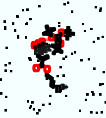 C=C(C)C(=O)OCC[CH2][Ti+3].CC[O-].CC[O-].CC[O-].C[Si](C)(C)O[SiH](O[Si](C)(C)C)O[Si](C)(C)C